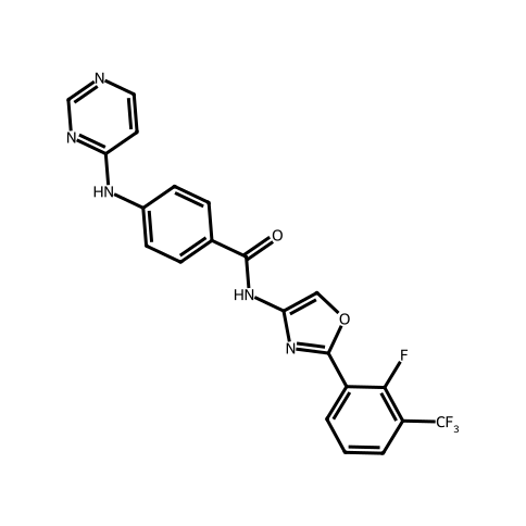 O=C(Nc1coc(-c2cccc(C(F)(F)F)c2F)n1)c1ccc(Nc2ccncn2)cc1